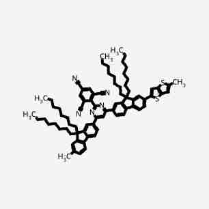 CCCCCCCCC1(CCCCCCCC)c2cc(C)ccc2-c2ccc(-c3cc(-c4ccc5c(c4)C(CCCCCCCC)(CCCCCCCC)c4cc(-c6cc7sc(C)cc7s6)ccc4-5)nc(-c4c(C#N)cc(C#N)cc4C#N)n3)cc21